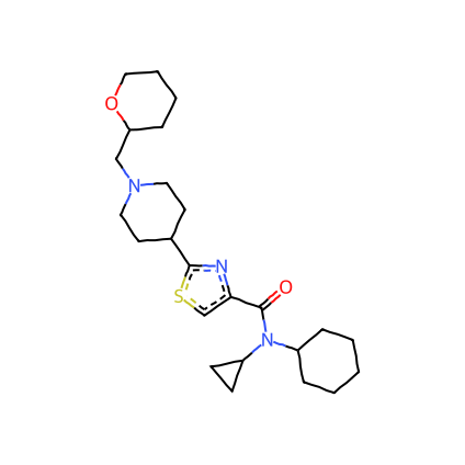 O=C(c1csc(C2CCN(CC3CCCCO3)CC2)n1)N(C1CCCCC1)C1CC1